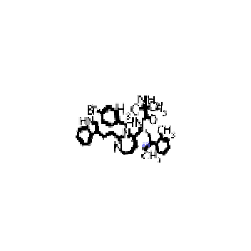 C/C=C(/C[C@@H](NC(=O)C(C)(C)N)C1=C=CCN=C(CCc2c[nH]c3ccccc23)N1Cc1ccc(Br)cc1)c1ccccc1C